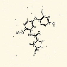 COc1ccc(Oc2ccc(Cl)cc2F)cc1NC(=O)C1CCC(=O)N1C